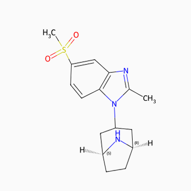 Cc1nc2cc(S(C)(=O)=O)ccc2n1C1C[C@H]2CC[C@@H](C1)N2